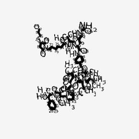 CC[C@H](C)[C@@H]([C@@H](CC(=O)N1CCC[C@H]1[C@H](OC)[C@@H](C)C(=O)N[C@H](C)[C@@H](O)c1ccccc1)OC)N(C)C(=O)[C@@H](NC(=O)[C@H](C(C)C)N(C)C(=O)OCc1ccc(NC(=O)[C@H](CCCNC(N)=O)NC(=O)[C@@H](NC(=O)CCCCCN2C(=O)CC(SCCC=O)C2=O)C(C)C)cc1)C(C)C